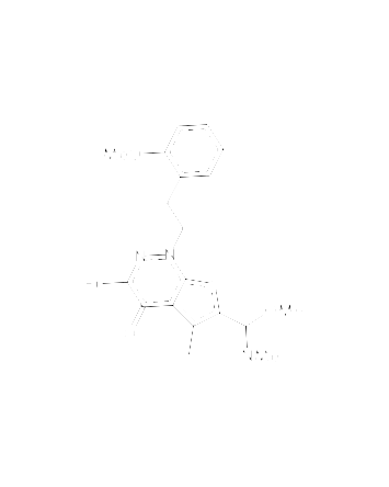 CCc1nn(CCc2ccccc2OC)c2sc(C(NC)OC)c(C)c2c1=O